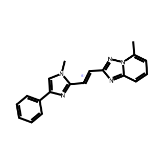 Cc1cccc2nc(/C=C/c3nc(-c4ccccc4)cn3C)nn12